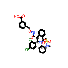 CN([C@H]1CCCC[C@@H]1N1C(=O)c2ccccc2[C@@H](C(=O)NOCc2cccc(C(=O)O)c2)[C@@H]1c1ccc(Cl)cc1Cl)S(C)(=O)=O